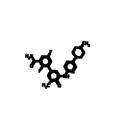 CN1CCN(c2ccc(Nc3cc(-c4cc(F)cc(C(N)=O)c4F)cn(C)c3=O)nc2)CC1